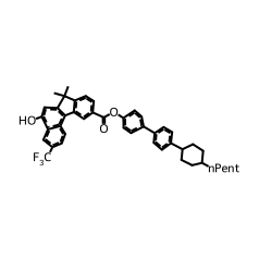 CCCCCC1CCC(c2ccc(-c3ccc(OC(=O)c4ccc5c(c4)-c4c(cc(O)c6cc(C(F)(F)F)ccc46)C5(C)C)cc3)cc2)CC1